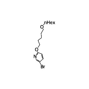 CCCCCCOCCCCCOc1ccc(Br)cn1